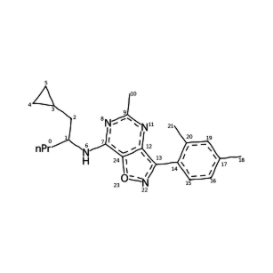 CCCC(CC1CC1)Nc1nc(C)nc2c(-c3ccc(C)cc3C)noc12